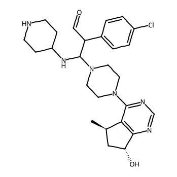 C[C@@H]1C[C@@H](O)c2ncnc(N3CCN(C(NC4CCNCC4)C(C=O)c4ccc(Cl)cc4)CC3)c21